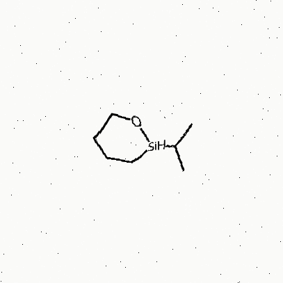 CC(C)[SiH]1CCCCO1